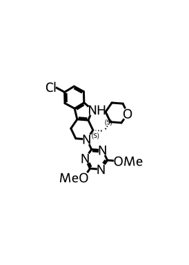 COc1nc(OC)nc(N2CCc3c([nH]c4ccc(Cl)cc34)[C@@H]2C[C@@H]2CCCOC2)n1